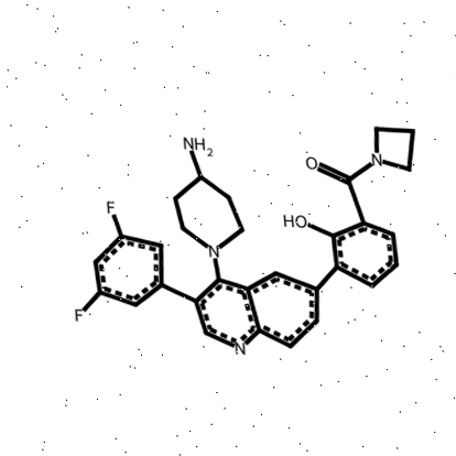 NC1CCN(c2c(-c3cc(F)cc(F)c3)cnc3ccc(-c4cccc(C(=O)N5CCC5)c4O)cc23)CC1